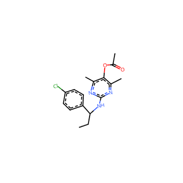 CCC(Nc1nc(C)c(OC(C)=O)c(C)n1)c1ccc(Cl)cc1